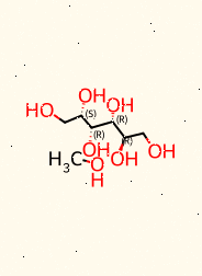 CO.OC[C@@H](O)[C@@H](O)[C@H](O)[C@@H](O)CO